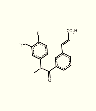 CN(C(=O)c1cccc(/C=C/C(=O)O)c1)c1ccc(F)c(C(F)(F)F)c1